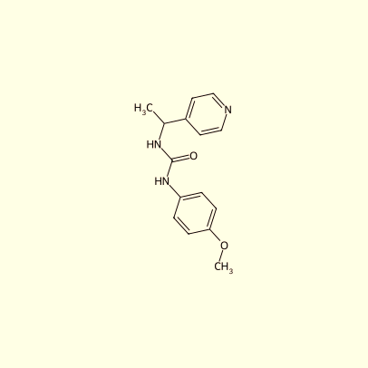 COc1ccc(NC(=O)NC(C)c2ccncc2)cc1